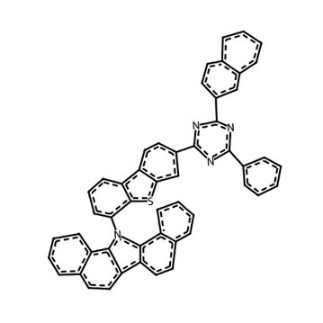 c1ccc(-c2nc(-c3ccc4ccccc4c3)nc(-c3ccc4c(c3)sc3c(-n5c6c7ccccc7ccc6c6ccc7ccccc7c65)cccc34)n2)cc1